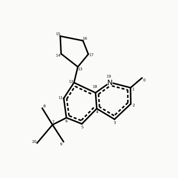 Cc1ccc2cc(C(C)(C)C)cc(C3CCCC3)c2n1